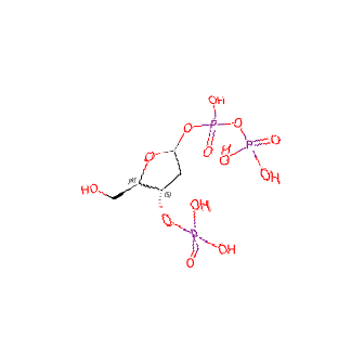 O=P(O)(O)O[C@H]1CC(OP(=O)(O)OP(=O)(O)O)O[C@@H]1CO